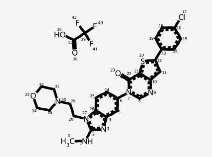 CNc1nc2cc(-n3cnc4cc(-c5ccc(Cl)cc5)sc4c3=O)ccc2n1CCN1CCOCC1.O=C(O)C(F)(F)F